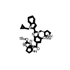 COc1cc(C(=O)N2C[C@H]3CC[C@@H]2[C@@H]3NC(=O)OC(C)(C)C)cc2nc(-c3cc4ccccc4n3CC3CC3)n(C[C@H]3CCNC3)c12